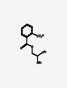 CCCCC(CCC)COC(=O)c1ccccc1C(=O)O